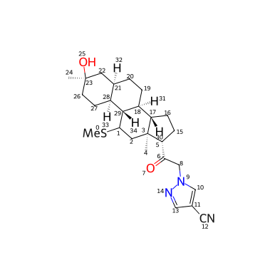 CSC1C[C@]2(C)[C@@H](C(=O)Cn3cc(C#N)cn3)CC[C@H]2[C@@H]2CC[C@@H]3C[C@](C)(O)CC[C@@H]3[C@@H]12